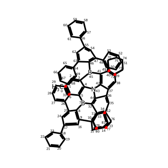 Cc1cc2c3c(c1)B(c1c(-c4ccccc4)cc(-c4ccccc4)cc1-c1ccccc1)c1c4c(cc5c6cc7c(c(c6n-3c15)B2c1c(-c2ccccc2)cc(-c2ccccc2)cc1-c1ccccc1)C1CCC7CC1)C1CCC4CC1